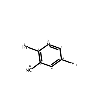 CC(C)c1ncc(F)cc1C#N